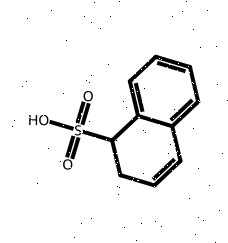 O=S(=O)(O)[C]1CC=Cc2ccccc21